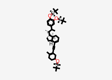 CC1=C(C#CC2=CCC[C@]3(C)[C@@H]([C@H](C)C(C)c4ccc(O[Si](C)(C)C(C)(C)C)c(O[Si](C)(C)C(C)(C)C)c4)CC[C@@H]23)CC(O[Si](C)(C)C(C)(C)C)CC1